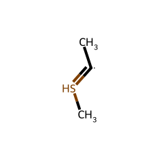 C[C]=[SH]C